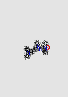 O=c1c2ccccc2c2cc(-n3c4ccccc4c4cc(-c5ccc6c(c5)c5ccccc5n6-c5ccccc5)ccc43)nc3c4ccccc4n1c23